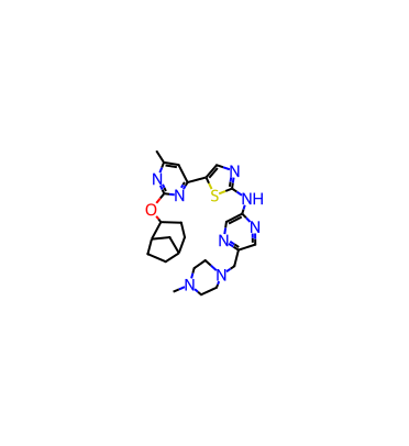 Cc1cc(-c2cnc(Nc3cnc(CN4CCN(C)CC4)cn3)s2)nc(OC2CCC3CCC2C3)n1